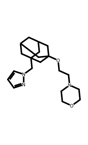 c1cnn(CC23CC4CC(C2)CC(OCCN2CCOCC2)(C4)C3)c1